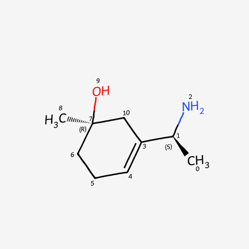 C[C@H](N)C1=CCC[C@@](C)(O)C1